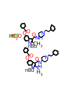 CCCCn1c(C)c(C(=O)NC2CCN(CCc3ccccc3)CC2)c2cc(OC(=O)c3ccccc3)ccc21.CCCCn1c(C)c(C(=O)NC2CCN(CCc3ccccc3)CC2)c2cc(OC(=O)c3ccccc3)ccc21.Cl.Cl.O